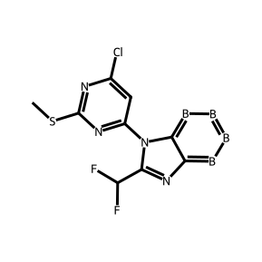 CSc1nc(Cl)cc(-n2c(C(F)F)nc3bbbbc32)n1